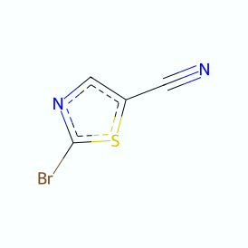 N#Cc1cnc(Br)s1